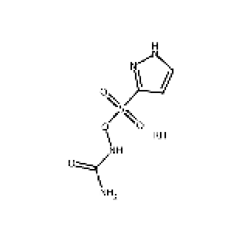 NC(=O)NOS(=O)(=O)c1cc[nH]n1.[KH]